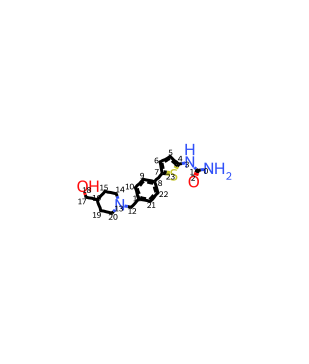 NC(=O)Nc1ccc(-c2ccc(CN3CCC(CO)CC3)cc2)s1